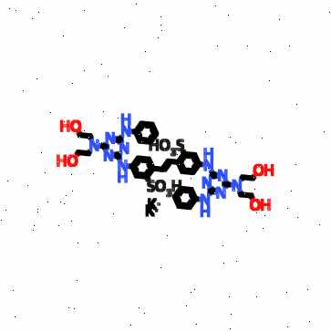 O=S(=O)(O)c1cc(Nc2nc(Nc3ccccc3)nc(N(CCO)CCO)n2)ccc1C=Cc1ccc(Nc2nc(Nc3ccccc3)nc(N(CCO)CCO)n2)cc1S(=O)(=O)O.[K].[K]